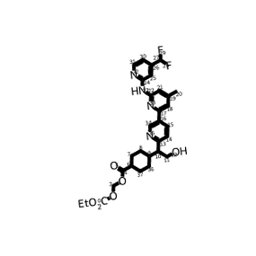 CCOC(=O)OCOC(=O)C1CCC(C(CO)c2ccc(-c3cc(C)cc(Nc4cc(C(F)F)ccn4)n3)cn2)CC1